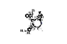 CCn1nc(O[C@@H]2C[C@H]3C(=O)N[C@]4(C(=O)NS(=O)(=O)C5CC5)C[C@H]4/C=C\CC[C@H](C)C[C@@H](C)[C@H](NC(=O)c4ccc(N(C)C)cc4)C(=O)N3C2)c2ccccc2c1=O